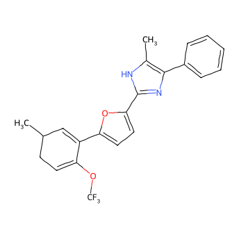 Cc1[nH]c(-c2ccc(C3=CC(C)CC=C3OC(F)(F)F)o2)nc1-c1ccccc1